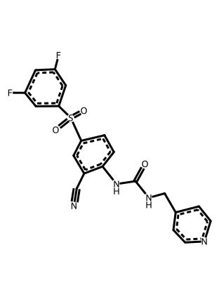 N#Cc1cc(S(=O)(=O)c2cc(F)cc(F)c2)ccc1NC(=O)NCc1ccncc1